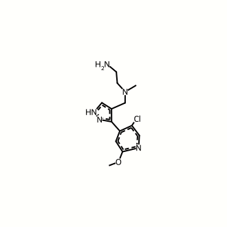 COc1cc(-c2n[nH]cc2CN(C)CCN)c(Cl)cn1